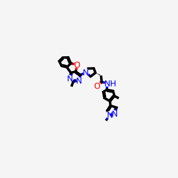 Cc1nc(N2CC[C@H](CC(=O)Nc3ccc(-c4cnn(C)c4)c(C)c3)C2)c2oc3ccccc3c2n1